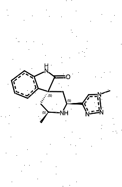 C[C@H]1C[C@@]2(C[C@@H](c3cn(C)nn3)N1)C(=O)Nc1ccccc12